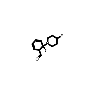 O=CC1C=CC=CC1(Cl)N1CCC(F)CC1